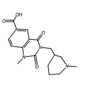 CN1CCCC(Cn2c(=O)c3cc(C(=O)O)ccc3n(C)c2=O)C1